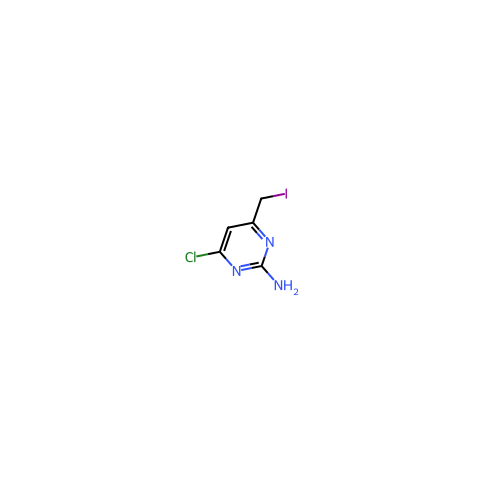 Nc1nc(Cl)cc(CI)n1